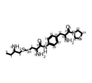 CCC(N)CSSCC(N)C(=O)Nc1ccc(CC(N)C(=O)N2CCSC2)cc1